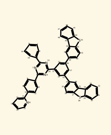 c1ccc(-c2nc(-c3ccc(-c4ccccn4)cc3)nc(-c3cc(-c4ccc5sc6ccccc6c5c4)cc(-c4ccc5sc6ccccc6c5c4)c3)n2)cc1